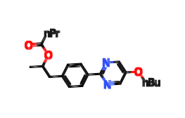 CCCCOc1cnc(-c2ccc(CC(C)OC(=O)CCC)cc2)nc1